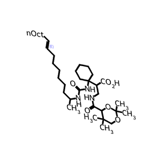 CCCCCCCC/C=C/CCCCCCC(C)NC(=O)NC1(C(CNC(=O)C2OC(C)(C)OCC2(C)C)C(=O)O)CCCCC1